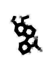 COc1ccc2c(-c3ccccc3[N+](=O)[O-])nccc2c1OC